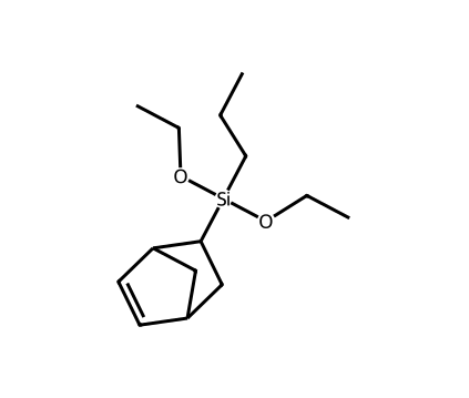 CCC[Si](OCC)(OCC)C1CC2C=CC1C2